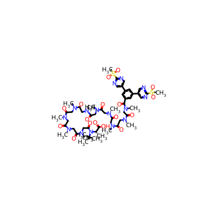 C[C@@H](C(=O)O)N(C(=O)CN(C)C(=O)CN(C)C(=O)CN(C)C(=O)CN(C)C(=O)CN(C)C(=O)CN(C)C(=O)CN(C)C(=O)CN(C)C(=O)CN(C)C(=O)CN(C)C(=O)c1cc(-c2cnc(S(C)(=O)=O)nc2)cc(-c2cnc(S(C)(=O)=O)nc2)c1)C(C)(C)C